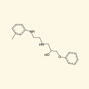 Cc1cccc(NCCNCC(O)COc2ccccc2)c1